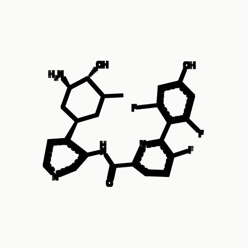 CC1C[C@@H](c2ccncc2NC(=O)c2ccc(F)c(-c3c(F)cc(O)cc3F)n2)C[C@@H](N)[C@@H]1O